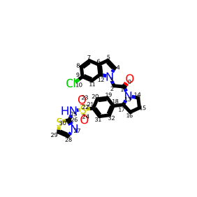 O=C(Cn1ccc2ccc(Cl)cc21)N1CCCC1c1ccc(S(=O)(=O)Nc2nccs2)cc1